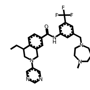 CCC1CN(c2cncnc2)Cc2cc(C(=O)Nc3cc(CN4CCCN(C)CC4)cc(C(F)(F)F)c3)ccc21